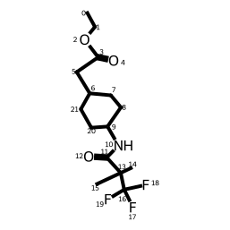 CCOC(=O)CC1CCC(NC(=O)C(C)(C)C(F)(F)F)CC1